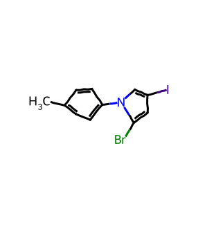 Cc1ccc(-n2cc(I)cc2Br)cc1